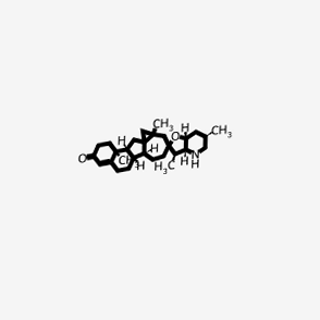 C[C@@H]1CN[C@H]2[C@@H](C)C3(CC[C@H]4[C@@H]5CCC6=CC(=O)CC[C@]6(C)[C@H]5CC45CC5(C)C3)O[C@@H]2C1